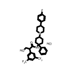 Cl.O=C(NC1(c2ccccc2)CCC(N2CCC(c3ccc(F)cc3)CC2)CC1)C(CO)c1cc(C(F)(F)F)cc(C(F)(F)F)c1